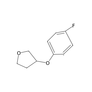 Fc1c[c]c(OC2CCOC2)cc1